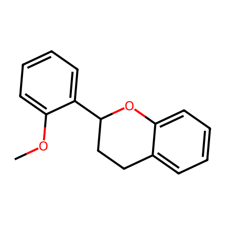 COc1ccccc1C1CCc2ccccc2O1